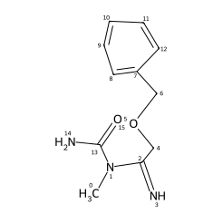 CN(C(=N)COCc1ccccc1)C(N)=O